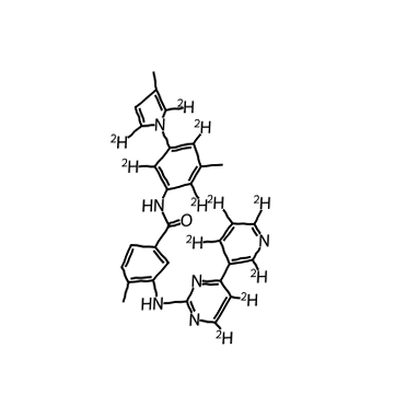 [2H]c1nc(Nc2cc(C(=O)Nc3c([2H])c(C)c([2H])c(-n4c([2H])cc(C)c4[2H])c3[2H])ccc2C)nc(-c2c([2H])nc([2H])c([2H])c2[2H])c1[2H]